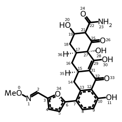 CO/N=C/c1ccc(-c2ccc(O)c3c2C[C@H]2C[C@H]4CC(O)C(C(N)=O)C(=O)[C@@]4(O)C(O)=C2C3=O)o1